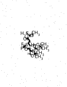 CON(C)C(=O)CCC[C@@H](OC(F)(F)F)[C@@H]1COC(C)(C)N1C(=O)OC(C)(C)C